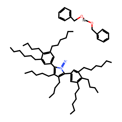 CCCCCCc1cc(C2=C(CCCC)C(CCCCC)=C(c3cc(CCCCCC)c(CCCC)c(CCCCCC)c3)[N+]2=[N-])cc(CCCCCC)c1CCCC.c1ccc(C[O][Ni][O]Cc2ccccc2)cc1